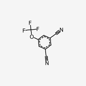 N#Cc1cc(C#N)cc(OC(F)(F)F)c1